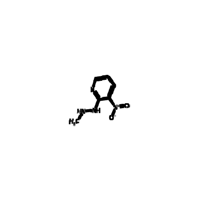 CNNc1ncccc1[N+](=O)[O-]